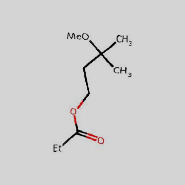 CCC(=O)OCCC(C)(C)OC